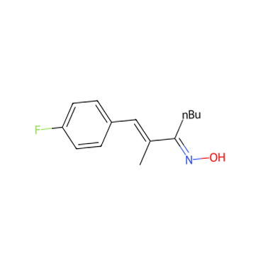 CCCCC(=N\O)/C(C)=C/c1ccc(F)cc1